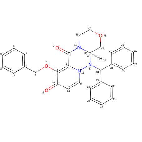 O=C1c2c(OCc3ccccc3)c(=O)ccn2N(C(c2ccccc2)c2ccccc2)[C@@H]2COCCN12